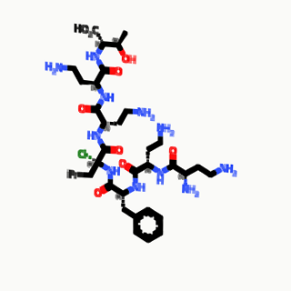 CC(C)C[C@](Cl)(NC(=O)[C@@H](Cc1ccccc1)NC(=O)[C@H](CCN)NC(=O)[C@@H](N)CCN)C(=O)N[C@@H](CCN)C(=O)N[C@@H](CCN)C(=O)N[C@H](C(=O)O)[C@@H](C)O